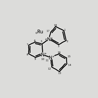 [Ru].c1cc[n+](-c2cccc[n+]2-[n+]2ccccc2)cc1